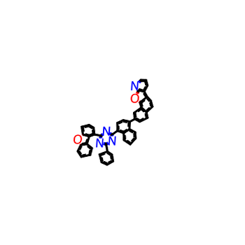 c1ccc(-c2nc(-c3ccc(-c4ccc5ccc6c7cccnc7oc6c5c4)c4ccccc34)nc(-c3cccc4oc5ccccc5c34)n2)cc1